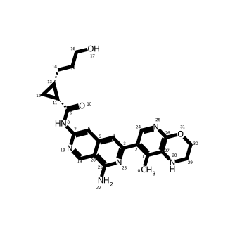 Cc1c(-c2cc3cc(NC(=O)[C@@H]4C[C@@H]4CCCO)ncc3c(N)n2)cnc2c1NCCO2